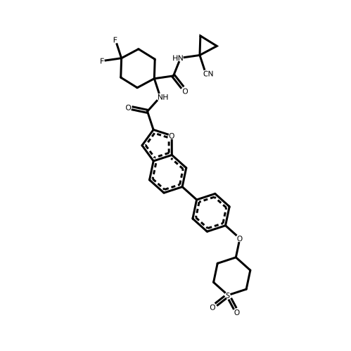 N#CC1(NC(=O)C2(NC(=O)c3cc4ccc(-c5ccc(OC6CCS(=O)(=O)CC6)cc5)cc4o3)CCC(F)(F)CC2)CC1